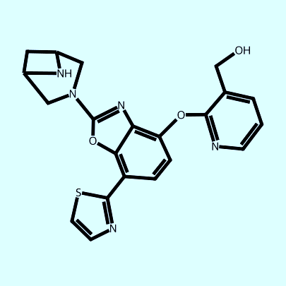 OCc1cccnc1Oc1ccc(-c2nccs2)c2oc(N3CC4CC(C3)N4)nc12